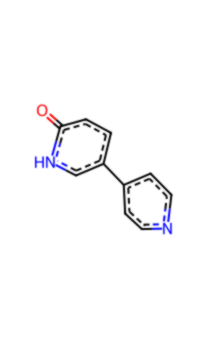 O=c1ccc(-c2ccncc2)c[nH]1